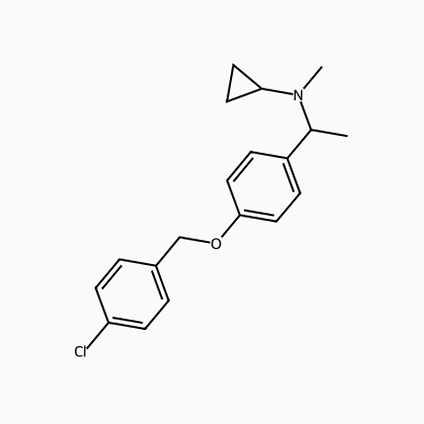 CC(c1ccc(OCc2ccc(Cl)cc2)cc1)N(C)C1CC1